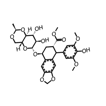 COC(=O)[C@H]1C[C@H](O[C@@H]2O[C@@H]3CO[C@@H](C)O[C@H]3[C@H](O)[C@H]2O)c2cc3c(cc2C1c1cc(OC)c(O)c(OC)c1)OCO3